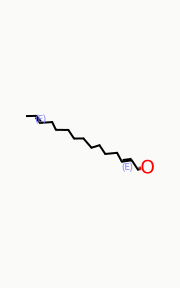 C/C=C/CCCCCCCCC/C=C/C=O